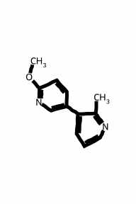 COc1ccc(-c2cccnc2C)cn1